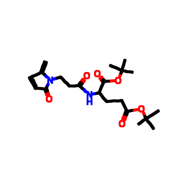 C=C1C=CC(=O)N1CCC(=O)NC(CCC(=O)OC(C)(C)C)C(=O)OC(C)(C)C